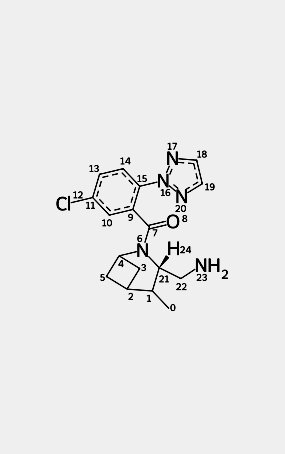 CC1C2CC(C2)N(C(=O)c2cc(Cl)ccc2-n2nccn2)[C@@H]1CN